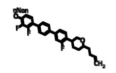 C=CCCC1CCC(c2ccc(-c3ccc(-c4ccc(OCCCCCCCCC)c(F)c4F)cc3)cc2F)CO1